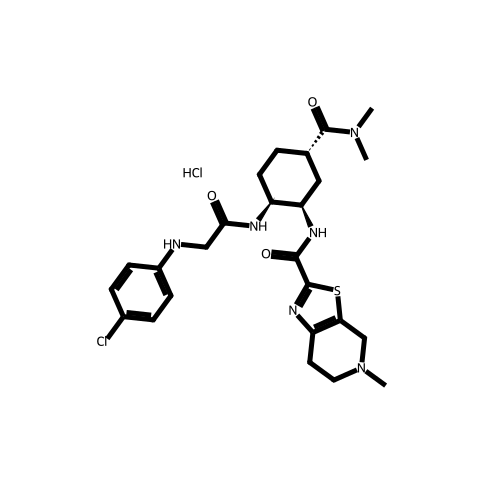 CN1CCc2nc(C(=O)N[C@@H]3C[C@@H](C(=O)N(C)C)CC[C@@H]3NC(=O)CNc3ccc(Cl)cc3)sc2C1.Cl